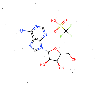 Nc1ncnc2c1ncn2[C@@H]1O[C@H](CO)[C@@H](O)[C@H]1O.O=S(=O)(O)C(F)(F)F